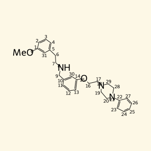 COc1cccc(CCNCc2cccc(OCCN3CCN(c4ccccc4)CC3)c2)c1